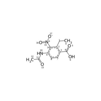 CCc1c(C(=O)O)ccc(NC(C)=O)c1[N+](=O)[O-]